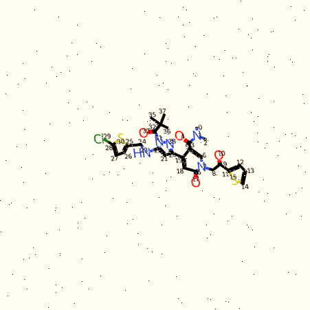 CN(C)C(=O)c1cn(CC(=O)c2cccs2)c(=O)cc1-c1cc(NCc2ccc(Cl)s2)n(C(=O)C(C)(C)C)n1